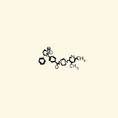 Cc1cc(C)c(N2CCN(C(=O)c3ccc(N4[C@H](c5ccccc5)CCS4(=O)=O)cc3)CC2)cn1